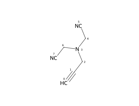 C#CCN(CC#N)CC#N